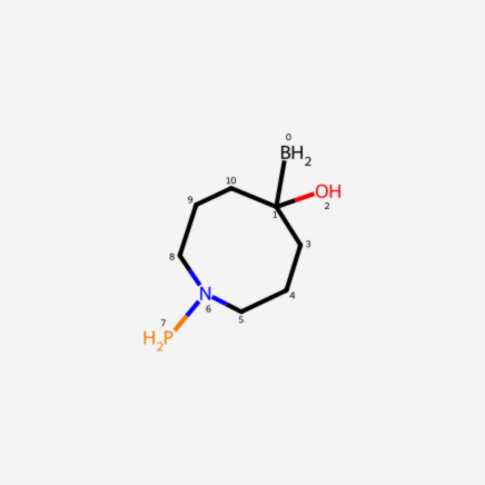 BC1(O)CCCN(P)CCC1